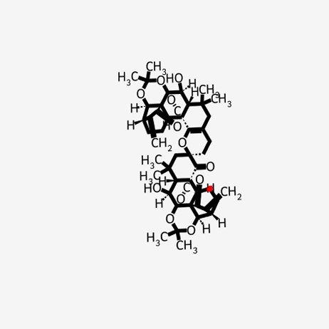 C=C1C(=O)[C@@]23[C@@H]4OC(C)(C)OC25OC[C@]2(C(=O)[C@@]6(CCC7=C(O6)[C@@]68COC9(OC(C)(C)O[C@@H]%10[C@H]%11CC[C@@H]6[C@]%109C(=O)C%11=C)[C@@H](O)[C@@H]8C(C)(C)C7)CC(C)(C)[C@H]2[C@@H]5O)[C@@H]3CC[C@@H]14